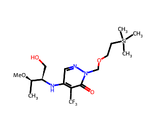 CO[C@H](C)[C@@H](CO)Nc1cnn(COCC[Si](C)(C)C)c(=O)c1C(F)(F)F